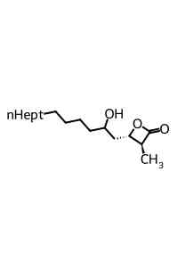 CCCCCCCCCCCC(O)C[C@@H]1OC(=O)[C@H]1C